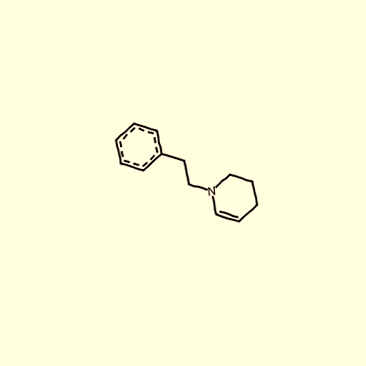 C1=CN(CCc2ccccc2)CCC1